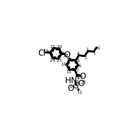 CCCCCc1cc(C(=O)NS(C)(=O)=O)ccc1Oc1ccc(Cl)cc1